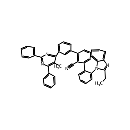 CCc1nc2ccccc2n1-c1ccccc1-c1cccc(-c2cccc(-c3nc(-c4ccccc4)nc(-c4ccccc4)c3C)c2)c1C#N